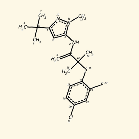 C=C(Nc1cc(C(C)(C)C)nn1C)C(C)(C)Sc1ccc(Cl)cc1F